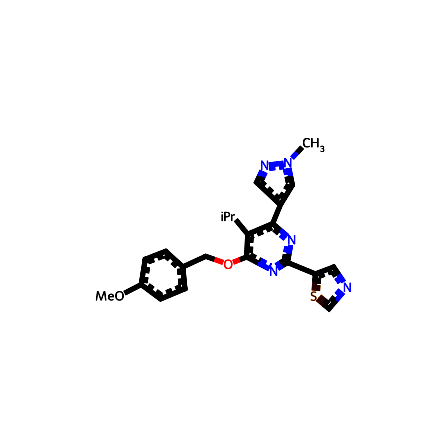 COc1ccc(COc2nc(-c3cncs3)nc(-c3cnn(C)c3)c2C(C)C)cc1